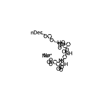 CCCCCCCCCCCCOc1cccc(OCCCCNC(=O)c2cc(OC(=O)Nc3ccc(N=Nc4c(O)c(S(=O)(=O)[O-])cc5cc(S(=O)(=O)[O-])ccc45)cc3)c3ccccc3c2O)c1.[Na+].[Na+]